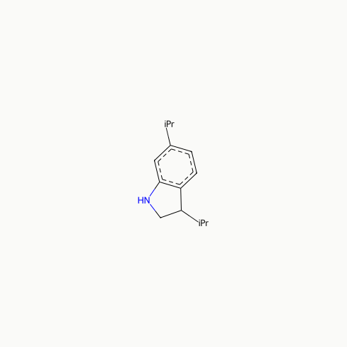 CC(C)c1ccc2c(c1)NCC2C(C)C